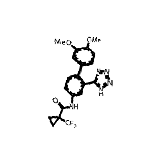 COc1ccc(-c2ccc(NC(=O)C3(C(F)(F)F)CC3)cc2-c2nnn[nH]2)cc1OC